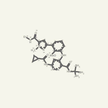 BC(B)(B)NC(=O)c1nnc(NC(=O)C2CC2)cc1Nc1cccc(-c2cc(C(=O)NCC)n(C)n2)c1OC